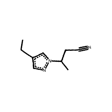 CCc1cnn(C(C)CC#N)c1